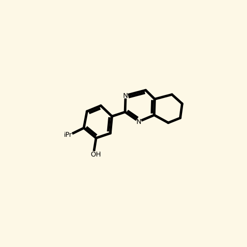 CC(C)c1ccc(-c2ncc3c(n2)CCCC3)cc1O